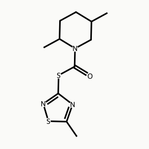 Cc1nc(SC(=O)N2CC(C)CCC2C)ns1